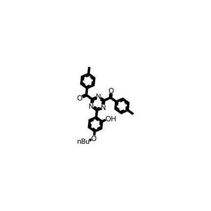 CCCCOc1ccc(-c2nc(C(=O)c3ccc(C)cc3)nc(C(=O)c3ccc(C)cc3)n2)c(O)c1